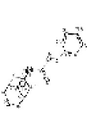 O=C(NC1CC2CSCC(C1)C2=O)OCc1ccccc1